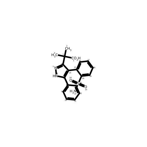 CC(C)(C(=O)O)c1n[nH]c(-c2ccccc2)c1-c1ccccc1S(N)(=O)=O